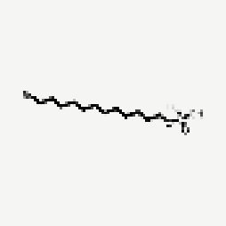 O=P(O)(O)OCCCCCCCCCCCCBr